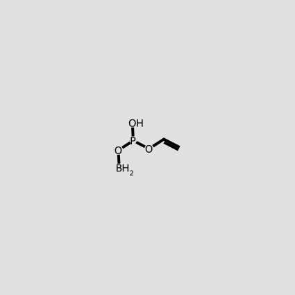 BOP(O)OC=C